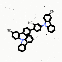 N#Cc1ccc(-n2c3ccccc3c3ccccc32)c(-c2ccc(-c3ccc(-n4c5ccccc5c5cc(C#N)ccc54)cc3C#N)cc2)c1